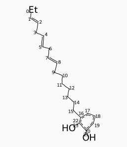 CC/C=C/C/C=C/C/C=C/CCCCCCCc1cccc(O)c1O